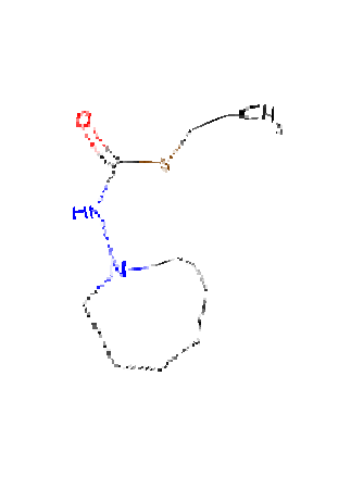 CCSC(=O)NN1CCCCCC1